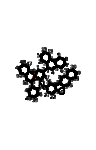 c1cc(-c2cc3ccccc3c3ccccc23)cc(N(c2ccc3oc4cc5ccccc5cc4c3c2)c2ccccc2-c2ccc3ccccc3c2)c1